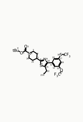 CC(C)(C)OC(=O)N1CCC(c2nc(-c3cc(OC(F)(F)F)cc(SC(F)(F)F)c3)c(CI)s2)CC1